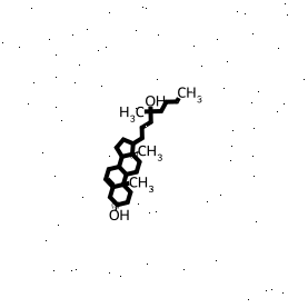 CCCCC(C)(O)CCCC1CCC2C3CC=C4C[C@@H](O)CCC4(C)C3CC[C@]12C